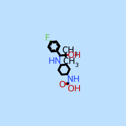 CC(C)(O)[C@@H](N[C@H]1CC[C@H](NC(=O)O)CC1)c1ccc(F)cc1